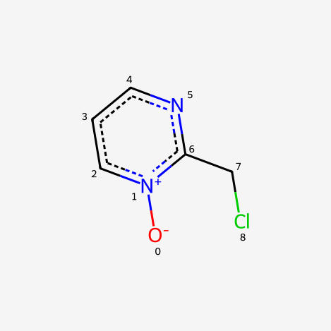 [O-][n+]1cccnc1CCl